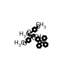 C[CH2][Ge]([CH2]C)([C](=O)c1ccc(OC)cc1)[C](=O)c1ccc(OC)cc1.c1cc[c]([Ge]([c]2ccccc2)([c]2ccccc2)[c]2ccccc2)cc1